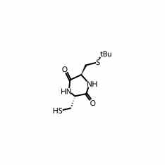 CC(C)(C)SC[C@H]1NC(=O)[C@H](CS)NC1=O